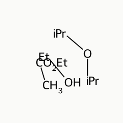 CC(C)OC(C)C.CCO.CCOC(C)=O